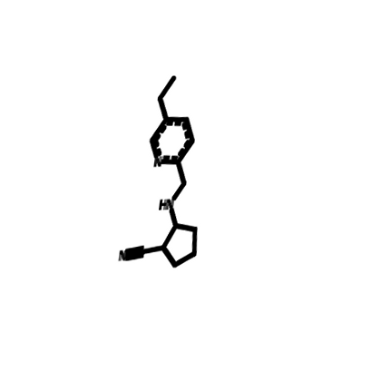 CCc1ccc(CNC2CCCC2C#N)nc1